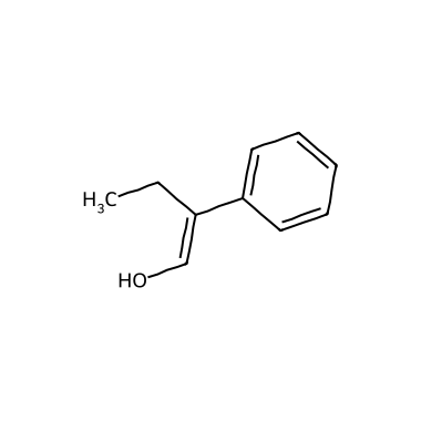 CCC(=CO)c1ccccc1